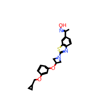 CC(=NO)c1ccc2nc(N3CC(Oc4cccc(OCC5CC5)c4)C3)sc2c1